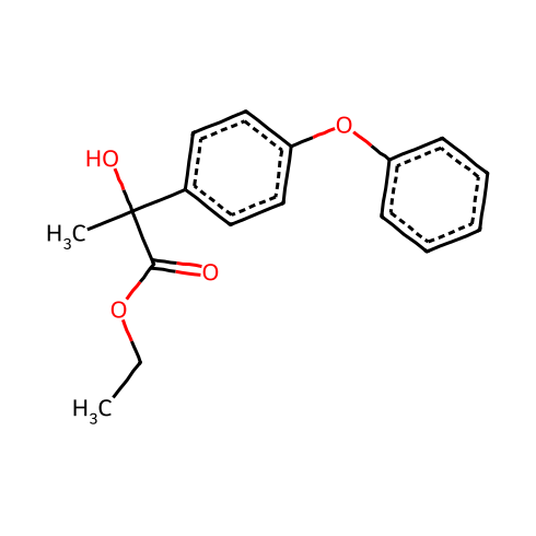 CCOC(=O)C(C)(O)c1ccc(Oc2ccccc2)cc1